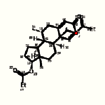 CCC(=O)OC[C@]12C=CC(=O)C=C1C[C@@H](C)[C@H]1[C@@H]3CC[C@H](OC(=O)CC)[C@@]3(C)CC[C@@H]12